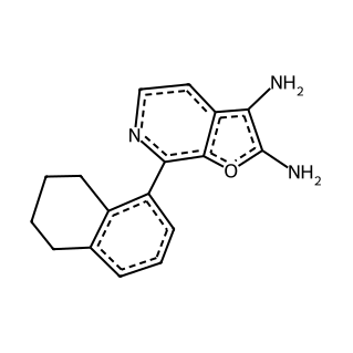 Nc1oc2c(-c3cccc4c3CCCC4)nccc2c1N